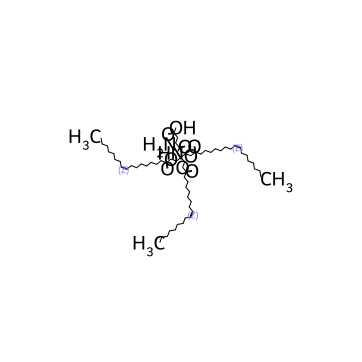 CCCCCCCC/C=C\CCCCCCCC(=O)OCC(COC(=O)CCCCCCC/C=C\CCCCCCCC)(COC(=O)CCCCCCC/C=C\CCCCCCCC)NC(=O)C(N)CC(=O)O